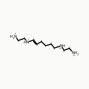 NCCNC=CCCCCNCCN